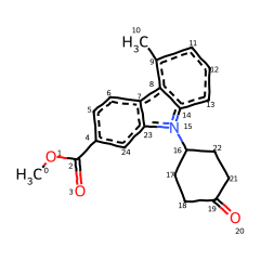 COC(=O)c1ccc2c3c(C)cccc3n(C3CCC(=O)CC3)c2c1